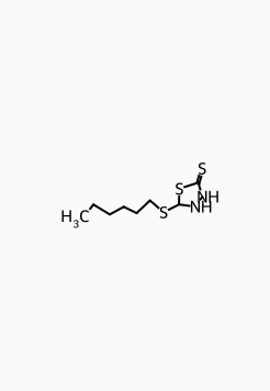 CCCCCCSC1NNC(=S)S1